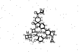 CNC(=O)c1cc(Nc2nc(-c3ccc4c(c3)N([C@H]3C[C@@H](N5CC6CC[C@H]65)C3)C(=O)C43CCN(C(=O)C45CC(C4)C5)CC3)cc3ncn(C4CC4)c23)ccc1C